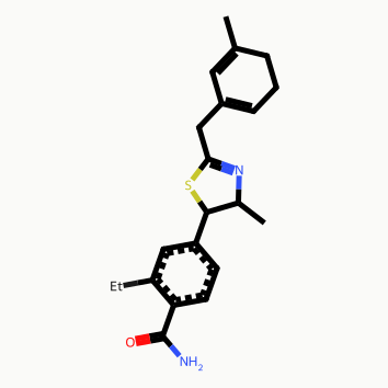 CCc1cc(C2SC(CC3=CCCC(C)=C3)=NC2C)ccc1C(N)=O